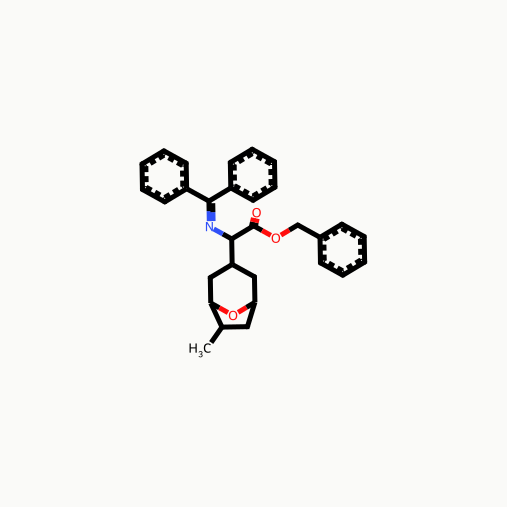 CC1CC2CC(C(N=C(c3ccccc3)c3ccccc3)C(=O)OCc3ccccc3)CC1O2